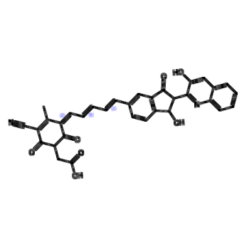 CC1=C(C#N)C(=O)C(CC(=O)O)C(=O)\C1=C/C=C/C=C/c1ccc2c(c1)C(=O)C(c1nc3ccccc3cc1O)C2O